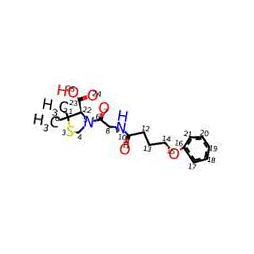 CC1(C)SCN(C(=O)CNC(=O)CCCOc2ccccc2)[C@@H]1C(=O)O